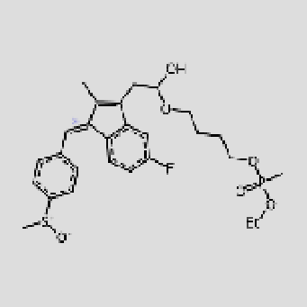 CCOP(C)(=O)OCCCCOC(O)CC1=C(C)/C(=C/c2ccc([S+](C)[O-])cc2)c2ccc(F)cc21